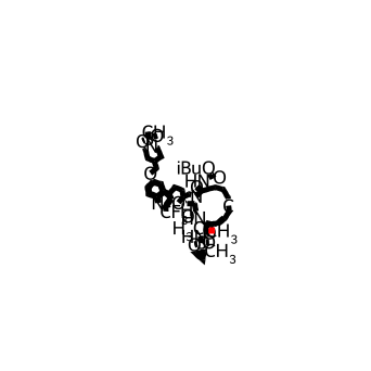 CC(C)COC(=O)N[C@H]1CCCCC/C=C\[C@H](C)[C@](C)(C(=O)NS(=O)(=O)C2(C)CC2)NC(=O)[C@@H]2C[C@]3(CCc4c(c(C(F)(F)F)nc5ccc(OCC6CCN(S(C)(=O)=O)CC6)cc45)O3)CN2C1=O